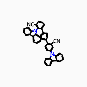 N#Cc1cc(-n2c3ccccc3c3ccccc32)ccc1-c1ccc(-c2cccc(C#N)c2-n2c3ccccc3c3ccccc32)cc1